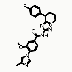 COc1cc(C(=O)Nc2nc3n(n2)CCCC3c2ccc(F)cc2)ccc1-n1cnc(C)c1